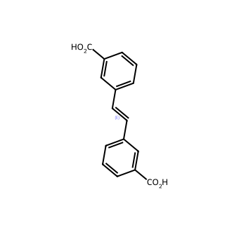 O=C(O)c1cccc(/C=C/c2cccc(C(=O)O)c2)c1